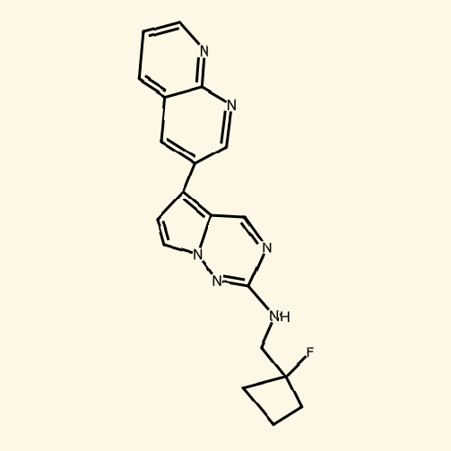 FC1(CNc2ncc3c(-c4cnc5ncccc5c4)ccn3n2)CCC1